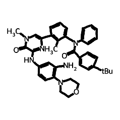 Cc1c(-c2cn(C)c(=O)c(Nc3ccc(N4CCOCC4)c(N)c3)n2)cccc1N(C(=O)c1ccc(C(C)(C)C)cc1)c1ccccc1